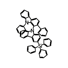 c1ccc(-c2ccc3c4ccccc4n(-c4ccccc4)c3c2-n2c3ccccc3c3cc([Si](c4ccccc4)(c4ccccc4)c4ccccc4)ccc32)cc1